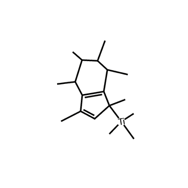 CC1=C[C](C)([Ti]([CH3])([CH3])[CH3])C2=C1C(C)C(C)C(C)C2C